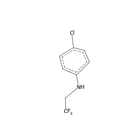 FC(F)(F)CNc1ccc(Cl)cc1